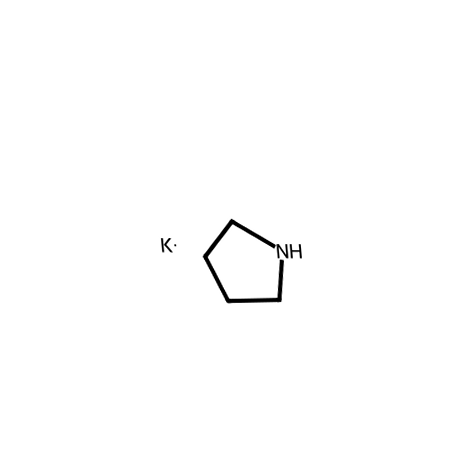 C1CCNC1.[K]